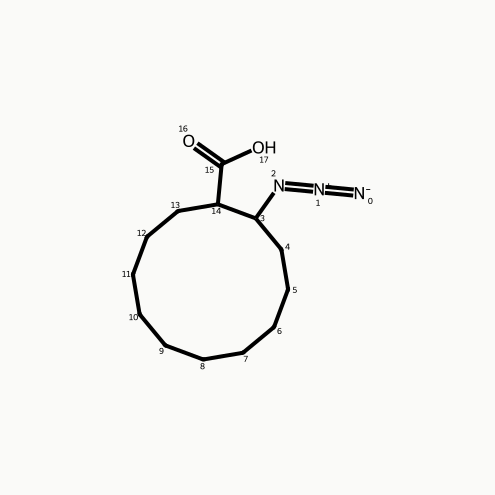 [N-]=[N+]=NC1CCCCCCCCCCC1C(=O)O